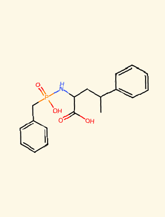 CC(CC(NP(=O)(O)Cc1ccccc1)C(=O)O)c1ccccc1